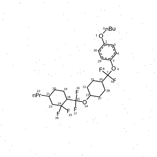 CCCCOc1ccc(OC(F)(F)C2CCC(OC(F)(F)C3CCC(CCC)CC3(F)F)CC2)cc1